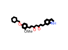 COc1cc(OCC2CCCCC2)ccc1C=CC(=O)CC(=O)C=Cc1ccc2cc[nH]c2c1